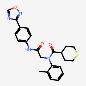 Cc1ccccc1N(CC(=O)Nc1ccc(-c2ncon2)cc1)C(=O)C1CCSCC1